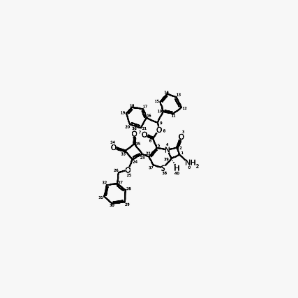 NC1C(=O)N2C(C(=O)OC(c3ccccc3)c3ccccc3)=C(c3c(OCc4ccccc4)c(=O)c3=O)CS[C@H]12